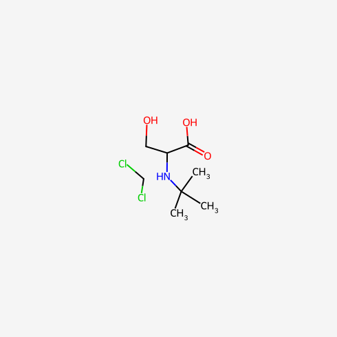 CC(C)(C)NC(CO)C(=O)O.ClCCl